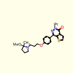 COC1(C)CCCN1CCCOc1ccc(-c2nn(C(C)C)c(=O)c3ccsc23)cc1